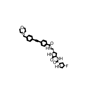 O=C(NC[C@H]1C[C@@H](NC(=O)[C@@H]2C[C@H](F)CN2)C(=O)N1)c1ccc(C#Cc2ccc(CN3CCOCC3)cc2)cc1